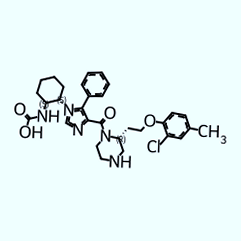 Cc1ccc(OCC[C@@H]2CNCCN2C(=O)c2ncn([C@H]3CCCC[C@@H]3NC(=O)O)c2-c2ccccc2)c(Cl)c1